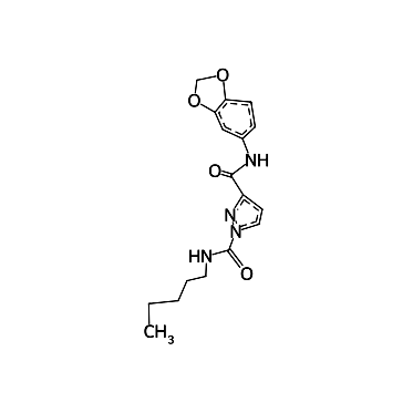 CCCCCNC(=O)n1ccc(C(=O)Nc2ccc3c(c2)OCO3)n1